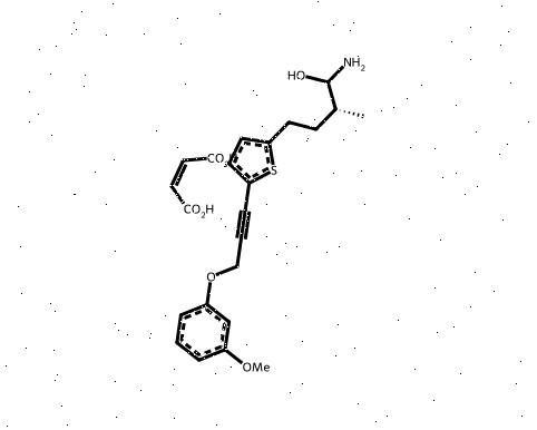 COc1cccc(OCC#Cc2ccc(CC[C@@H](C)C(N)O)s2)c1.O=C(O)/C=C\C(=O)O